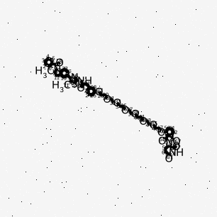 Cc1ccccc1C(=O)N1CCc2cc(-c3nc(NC(=O)Cc4cccc(OCCOCCOCCOCCOCCOCCOCCOc5cccc6c5C(=O)N(C5CCC(=O)NC5=O)C6=O)c4)sc3C)ccc21